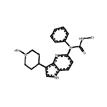 CCCCN1CCC(c2c[nH]c3ccc(N(C(=O)NCC)c4ccccc4)nc23)CC1